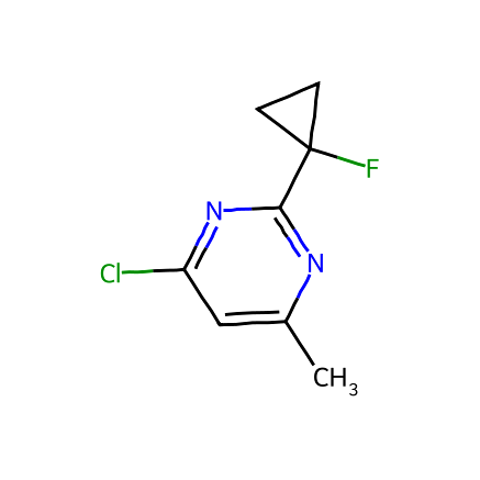 Cc1cc(Cl)nc(C2(F)CC2)n1